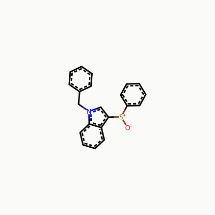 [O-][S+](c1ccccc1)c1cn(Cc2ccccc2)c2ccccc12